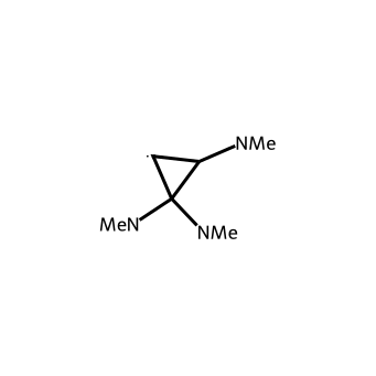 CNC1[CH]C1(NC)NC